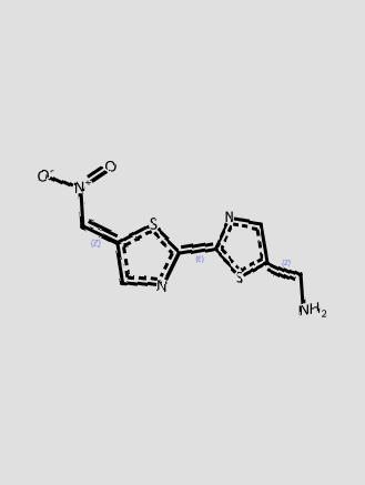 N/C=c1/cn/c(=c2/nc/c(=C/[N+](=O)[O-])s2)s1